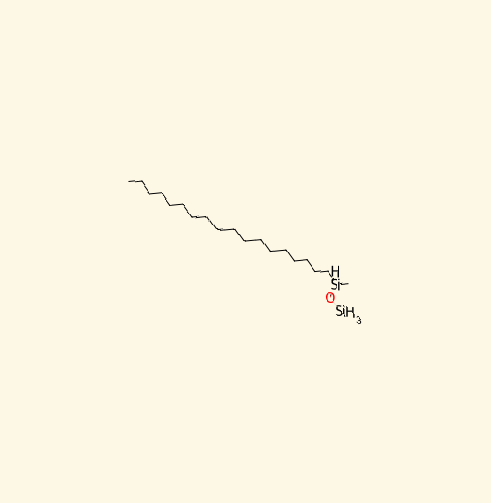 CCCCCCCCCCCCCCCCCC[SiH](C)O[SiH3]